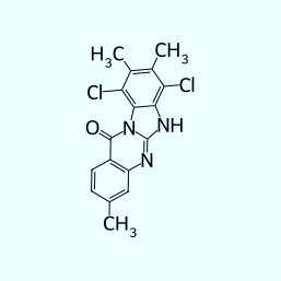 Cc1ccc2c(=O)n3c(nc2c1)[nH]c1c(Cl)c(C)c(C)c(Cl)c13